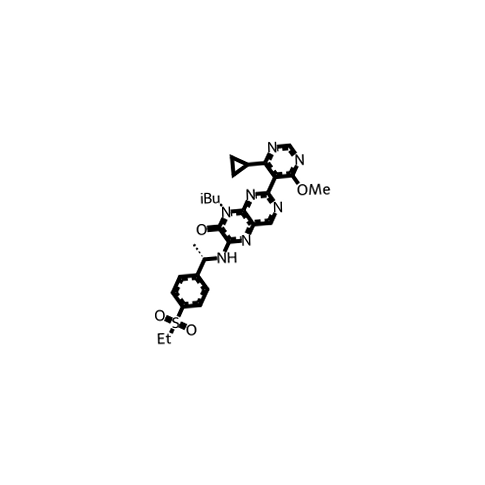 CC[C@@H](C)n1c(=O)c(N[C@@H](C)c2ccc(S(=O)(=O)CC)cc2)nc2cnc(-c3c(OC)ncnc3C3CC3)nc21